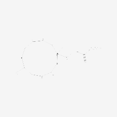 CNC(=O)OCC1(C)CCCCCC(C)CCCC1